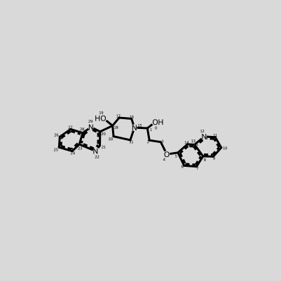 OC(CCOc1ccc2cccnc2c1)N1CCC(O)(c2cnc3ccccc3n2)CC1